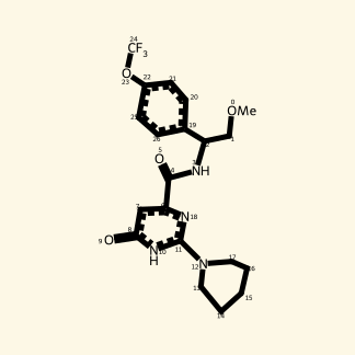 COCC(NC(=O)c1cc(=O)[nH]c(N2CCCCC2)n1)c1ccc(OC(F)(F)F)cc1